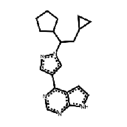 c1nc(-c2cnn(C(CC3CC3)C3CCCC3)c2)c2cc[nH]c2n1